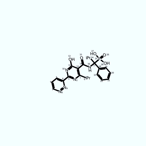 CC(C)c1nc(-c2cccnn2)nc(O)c1C(=O)NC(c1ccccc1)(C(C)C)P(=O)(O)O